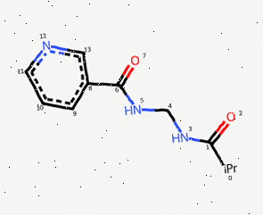 CC(C)C(=O)NCNC(=O)c1cccnc1